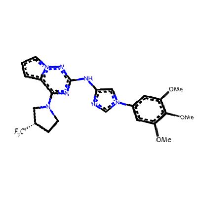 COc1cc(-n2cnc(Nc3nc(N4CC[C@H](C(F)(F)F)C4)c4cccn4n3)c2)cc(OC)c1OC